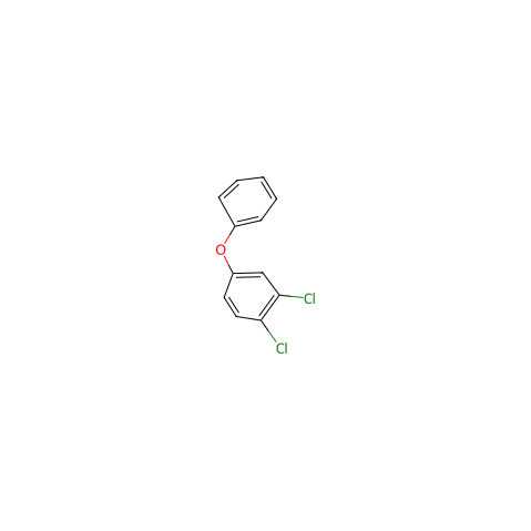 Clc1ccc(Oc2ccccc2)cc1Cl